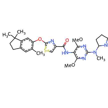 COc1nc(N(C)C2CCCN2)nc(OC)c1NC(=O)c1csc(Oc2cc3c(cc2C)CCC3(C)C)n1